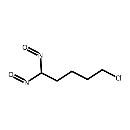 O=NC(CCCCCl)N=O